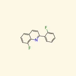 Fc1ccccc1-c1ccc2cccc(F)c2n1